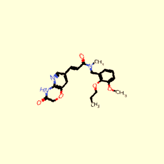 CCCOc1c(CN(C)C(=O)C=Cc2cnc3c(c2)OCC(=O)N3)cccc1OC